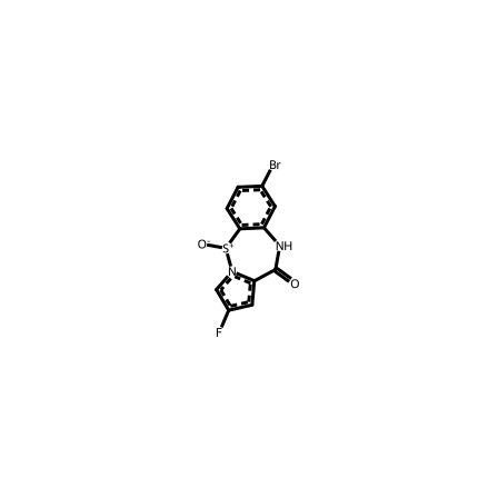 O=C1Nc2cc(Br)ccc2[S+]([O-])n2cc(F)cc21